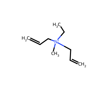 C=CC[N+](C)(CC)CC=C